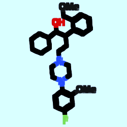 COCc1ccccc1C(CCN1CCN(c2ccc(F)cc2OC)CC1)C(O)C1CCCCC1